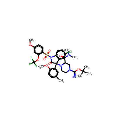 COc1ccc(S(=O)(=O)N2C(=O)C(c3cc(C)ccc3OC)(N3CCN(C(=N)OC(C)(C)C)CC3C(=O)N(C)C)c3cc(Cl)ccc32)c(OC(F)(F)F)c1